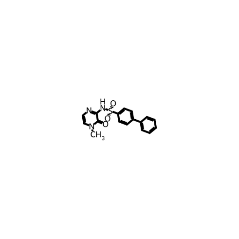 Cn1ccnc(NS(=O)(=O)c2ccc(-c3ccccc3)cc2)c1=O